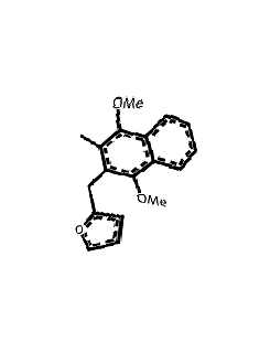 COc1c(C)c(Cc2ccco2)c(OC)c2ccccc12